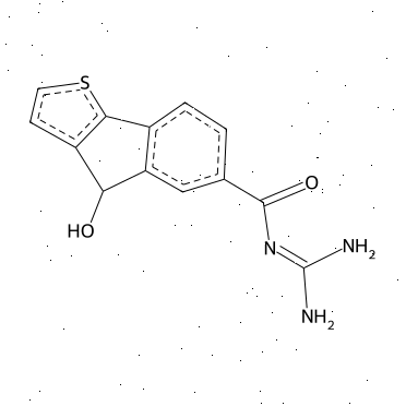 NC(N)=NC(=O)c1ccc2c(c1)C(O)c1ccsc1-2